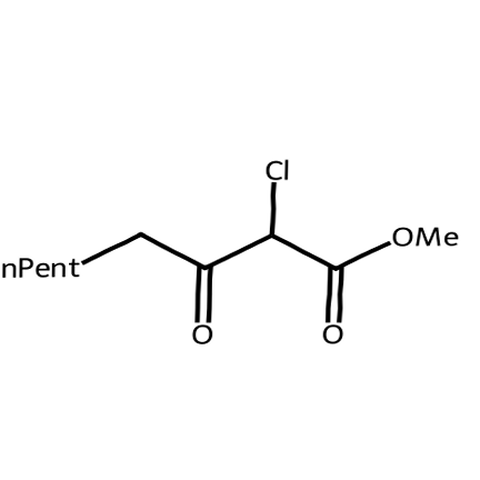 CCCCCCC(=O)C(Cl)C(=O)OC